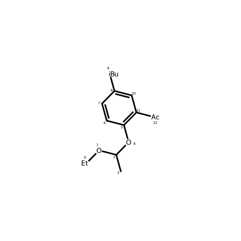 CCOC(C)Oc1ccc(C(C)CC)cc1C(C)=O